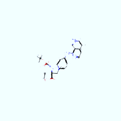 CC[C@@](Cc1ccc(Nc2nccc3ccncc23)cc1)(NC(=O)OC(C)(C)C)C(=O)O